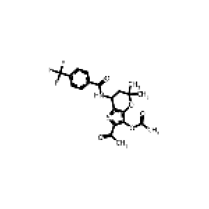 CC(=O)Oc1c(C(C)=O)sc2c1OC(C)(C)CC2NC(=O)c1ccc(C(F)(F)F)cc1